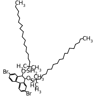 CCCCCCCCCCCCCCCCCC(C)(C)[SiH2]OC1c2cc(Br)ccc2-c2ccc(Br)cc2C1O[SiH2]C(C)(C)CCCCCCCCCCCCCCCCC